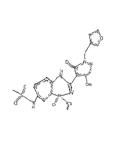 COP1(=O)N=C(c2c(O)cnn(Cc3ccoc3)c2=O)Nc2ccc(NS(C)(=O)=O)cc21